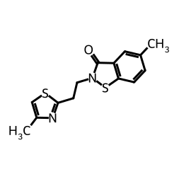 Cc1ccc2sn(CCc3nc(C)cs3)c(=O)c2c1